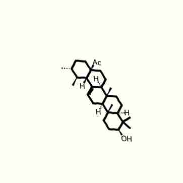 CC(=O)[C@]12CC[C@@H](C)[C@H](C)[C@H]1C1=CC[C@H]3[C@@](C)(CC[C@H]4C(C)(C)[C@@H](O)CC[C@]34C)[C@@H]1CC2